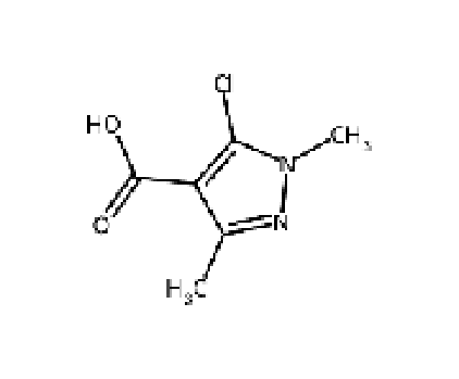 Cc1nn(C)c(Cl)c1C(=O)O